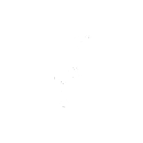 CN(CCCc1ccccc1)CCOP(=O)(O)OCCCc1ccc(O)c(O)c1